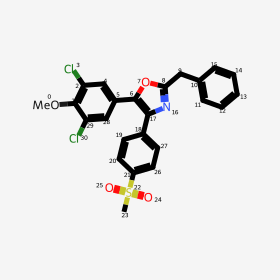 COc1c(Cl)cc(-c2oc(Cc3ccccc3)nc2-c2ccc(S(C)(=O)=O)cc2)cc1Cl